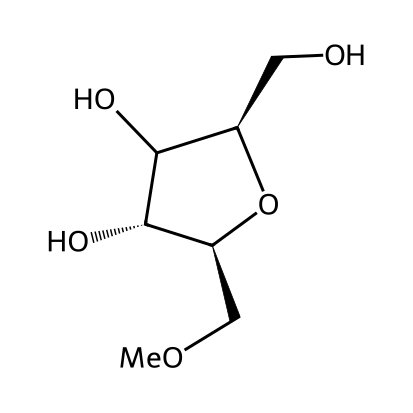 COC[C@@H]1O[C@H](CO)C(O)[C@H]1O